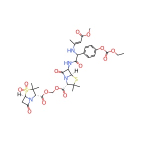 CCOC(=O)Oc1ccc(C(NC(C)=CC(=O)OC)C(=O)N[C@@H]2C(=O)N3[C@@H]2SC(C)(C)[C@@H]3C(=O)OCOC(=O)[C@@H]2N3C(=O)C[C@H]3S(=O)(=O)C2(C)C)cc1